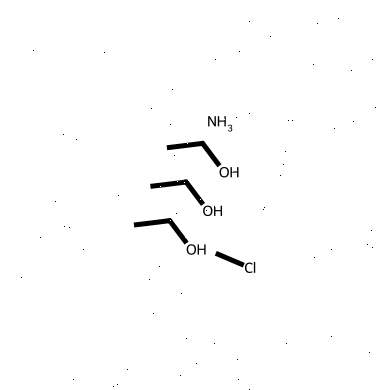 CCO.CCO.CCO.CCl.N